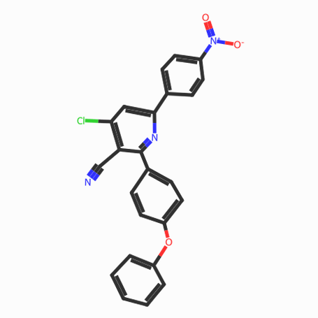 N#Cc1c(Cl)cc(-c2ccc([N+](=O)[O-])cc2)nc1-c1ccc(Oc2ccccc2)cc1